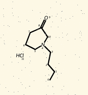 CCCCN1CCCC(=O)C1.Cl